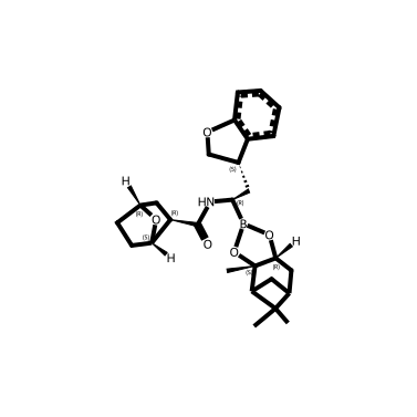 CC1(C)C2CC1[C@]1(C)OB([C@H](C[C@@H]3COc4ccccc43)NC(=O)[C@@H]3C[C@H]4CC[C@@H]3O4)O[C@@H]1C2